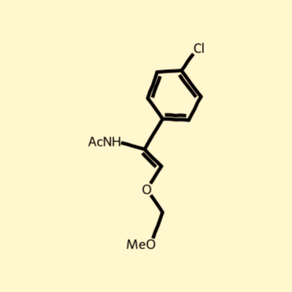 COCOC=C(NC(C)=O)c1ccc(Cl)cc1